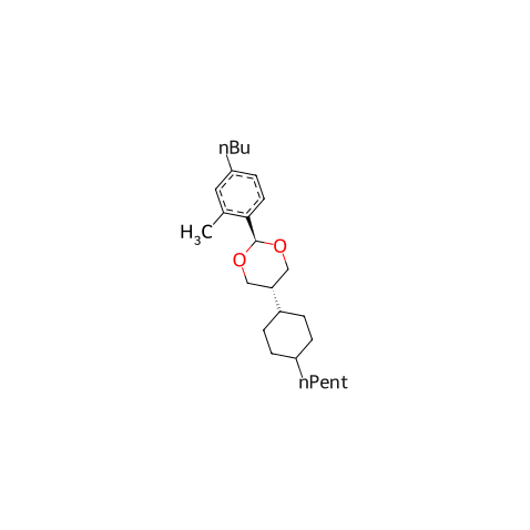 CCCCCC1CCC([C@H]2CO[C@H](c3ccc(CCCC)cc3C)OC2)CC1